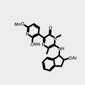 COc1ccc(-c2nc(C)c(NC3c4ccccc4CC3OC(C)=O)n(C)c2=O)c(OC)n1